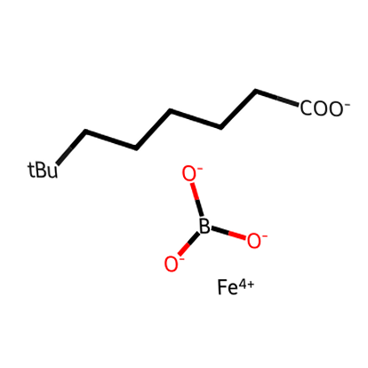 CC(C)(C)CCCCCC(=O)[O-].[Fe+4].[O-]B([O-])[O-]